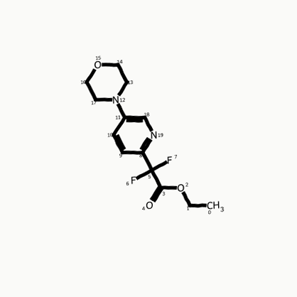 CCOC(=O)C(F)(F)c1ccc(N2CCOCC2)cn1